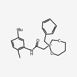 Cc1ccc(C(C)(C)C)cc1NC(=O)C[N+]1(Cc2ccccc2)CCCCCO1